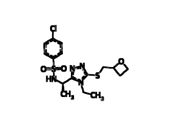 CCn1c(SCC2CCO2)nnc1[C@@H](C)NS(=O)(=O)c1ccc(Cl)cc1